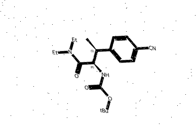 CCN(CC)C(=O)[C@H](NC(=O)OC(C)(C)C)[C@@H](C)c1ccc(C#N)cc1